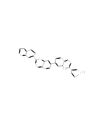 C1=CC(c2ccc3ccc(-c4ccc5ccc(-c6ccc7ccccc7c6)nc5c4)cc3n2)=CNC1